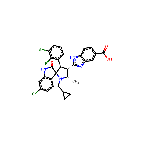 C[C@H]1[C@@H](c2nc3cc(C(=O)O)ccc3[nH]2)[C@H](c2cccc(Br)c2F)[C@]2(C(=O)Nc3cc(Cl)ccc32)N1CC1CC1